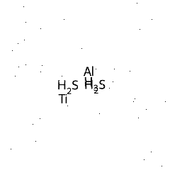 S.S.[AlH3].[Ti]